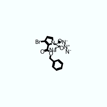 O=C(OCc1ccccc1)c1c(Br)ccn1[S](=O)(=O)[Na].[N-]=[N+]=[N-]